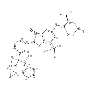 CC(C)[C@H]1CN(C)CCN1Cc1cc2c(c(C(F)(F)F)c1)CN(c1cccc(C3([C@H](F)c4nncn4C4CC4)COC3)c1)C2=O